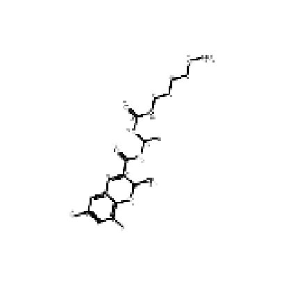 Cc1cc(Br)cc2c1OC(C(F)(F)F)C(C(=O)OC(C)OC(=O)OCCCCO[N+](=O)[O-])=C2